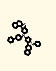 c1ccc(-c2ccc(N(c3ccc4sc5ccc6ccccc6c5c4c3)c3ccc4c(c3)c3cc5ccccc5cc3n4-c3ccccc3)cc2)cc1